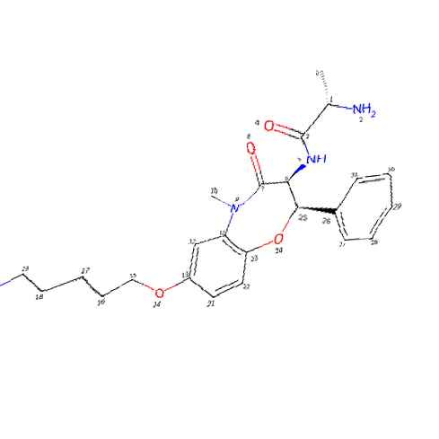 C[C@H](N)C(=O)N[C@@H]1C(=O)N(C)c2cc(OCCCCCN)ccc2O[C@@H]1c1ccccc1